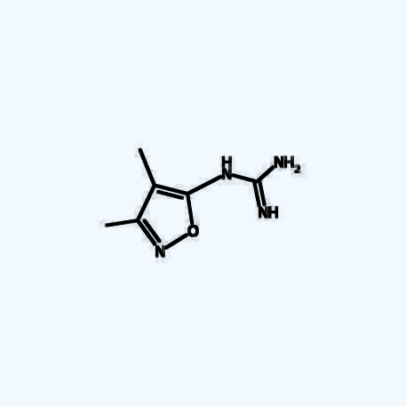 Cc1noc(NC(=N)N)c1C